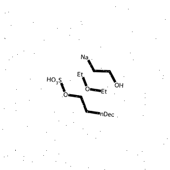 CCCCCCCCCCCCOS(=O)(=O)O.CCOCC.OC[CH2][Na]